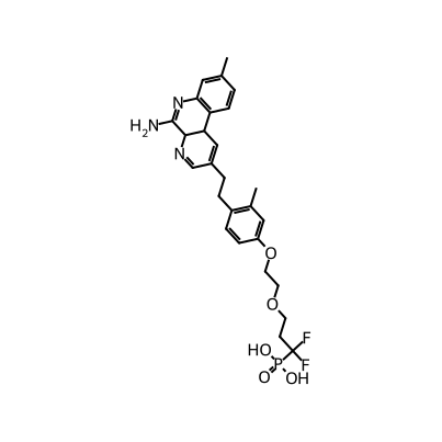 Cc1ccc2c(c1)N=C(N)C1N=CC(CCc3ccc(OCCOCCC(F)(F)P(=O)(O)O)cc3C)=CC21